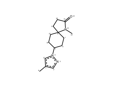 Cc1cnn(C2CCC3(CCC(=O)N3C)CC2)c1